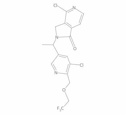 CC(c1cnc(COCC(F)(F)F)c(Cl)c1)N1Cc2c(ccnc2Cl)C1=O